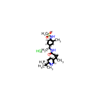 Cc1cc([C@@H](C)NC(=O)C2CC2(C)c2ccc(C(C)(C)C)nc2)ccc1NS(C)(=O)=O.Cl